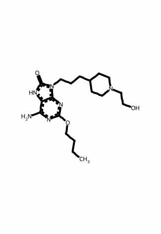 CCCCOc1nc(N)c2[nH]c(=O)n(CCCC3CCN(CCO)CC3)c2n1